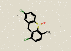 Cc1ccc(Cl)c2c1[S+]([O-])c1ccc(Cl)cc1C2